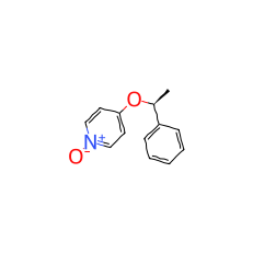 C[C@H](Oc1cc[n+]([O-])cc1)c1ccccc1